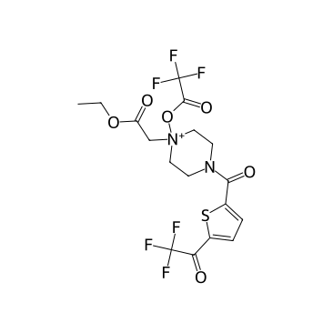 CCOC(=O)C[N+]1(OC(=O)C(F)(F)F)CCN(C(=O)c2ccc(C(=O)C(F)(F)F)s2)CC1